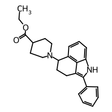 CCOC(=O)C1CCN(C2CCc3c(-c4ccccc4)[nH]c4cccc2c34)CC1